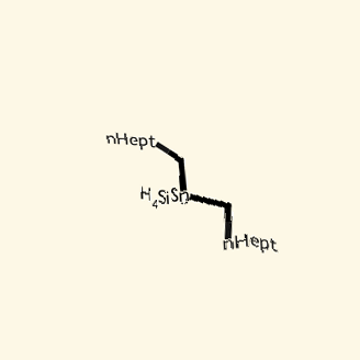 CCCCCCC[CH2][Sn][CH2]CCCCCCC.[SiH4]